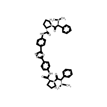 CN(C)[C@H](C(=O)N1CCC[C@H]1C(=O)Nc1ccc(-c2nnc(-c3ccc(NC(=O)[C@@H]4CCCN4C(=O)[C@H](c4ccccc4)N(C)C)cc3)o2)cc1)c1ccccc1